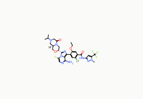 CCOc1cc(C(=O)Nc2cc(C(F)(F)F)n(C)n2)c(Cl)cc1-c1nc([C@H]2CN3C(=O)CN(C(C)C)C[C@@H]3CO2)n2c(F)cnc(N)c12